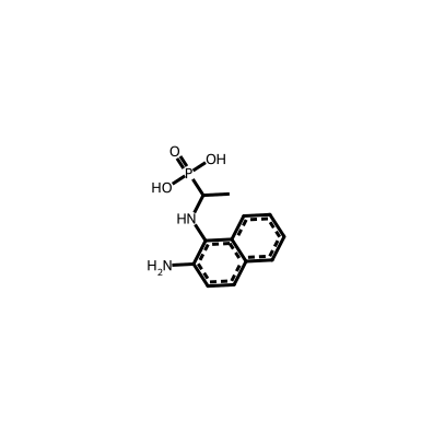 CC(Nc1c(N)ccc2ccccc12)P(=O)(O)O